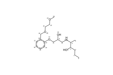 CCCC(O)C(C)NCC(O)COc1ccccc1COCCOC